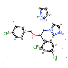 Clc1ccc(COC(Cn2ccnc2)c2ccc(Cl)cc2Cl)cc1.c1cc[nH]c1